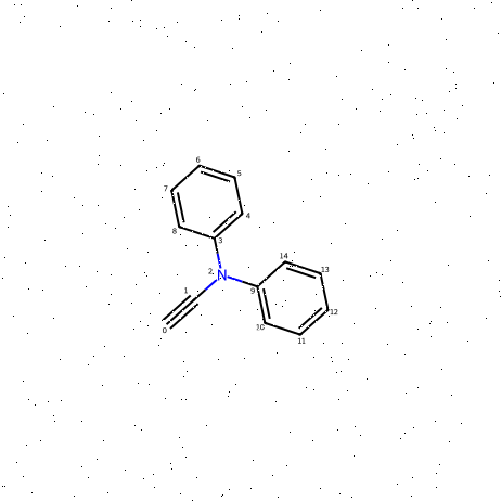 C#CN(c1ccccc1)c1ccccc1